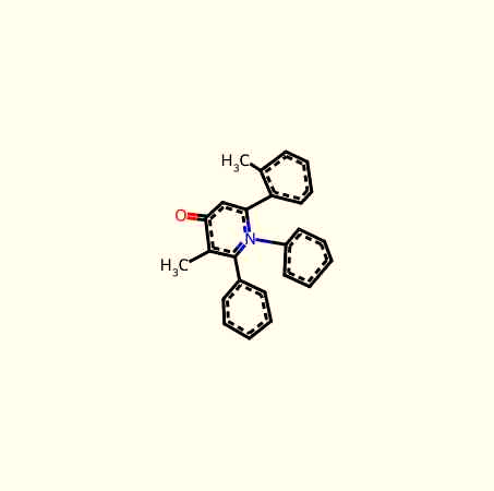 Cc1ccccc1-c1cc(=O)c(C)c(-c2ccccc2)n1-c1ccccc1